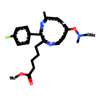 CON(C)Oc1ccnc(CCCCC(=O)OC(C)(C)C)c(-c2ccc(F)cc2)nc(C)cc1